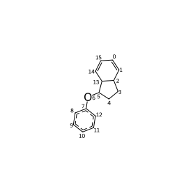 C1=CC2CCC(Oc3ccccc3)C2C=C1